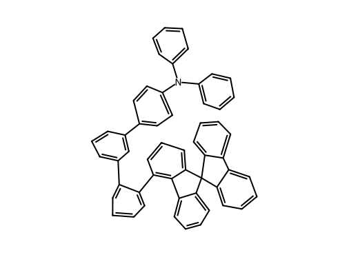 c1ccc(N(c2ccccc2)c2ccc(-c3cccc(-c4ccccc4-c4cccc5c4-c4ccccc4C54c5ccccc5-c5ccccc54)c3)cc2)cc1